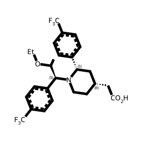 CCOC(C)[C@H](c1ccc(C(F)(F)F)cc1)N1CC[C@@H](CC(=O)O)C[C@H]1c1ccc(C(F)(F)F)cc1